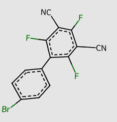 N#Cc1c(F)c(C#N)c(F)c(-c2ccc(Br)cc2)c1F